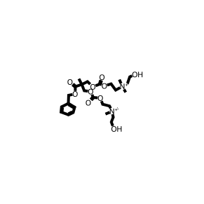 CC(COC(=O)OCC[N+](C)(C)CCO)(COC(=O)OCC[N+](C)(C)CCO)C(=O)OCc1ccccc1